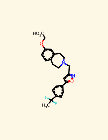 CC(F)(F)c1ccc(-c2cc(CN3CCc4ccc(OCC(=O)O)cc4CC3)no2)cc1